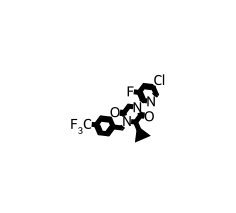 O=C1C(C2CC2)N(Cc2ccc(C(F)(F)F)cc2)C(=O)CN1c1ncc(Cl)cc1F